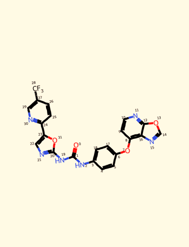 O=C(Nc1ccc(Oc2ccnc3ocnc23)cc1)Nc1ncc(-c2ccc(C(F)(F)F)cn2)o1